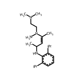 C/C(=C/C(C)Nc1c(C(C)C)cccc1C(C)C)N(N)CCN(C)C